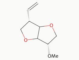 C=C[C@H]1COC2C1OC[C@@H]2OC